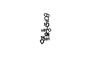 Cn1nc(NC(=O)c2ccc(N3CCC4(CCCO4)CC3)nc2)cc1-c1nc2ccccc2[nH]1